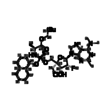 Cc1nc(N(C)C)c2ncn([C@@H]3O[C@](CCl)(COP(=S)(N[C@@H](C)C(=O)OCC(C)(C)C)Oc4cccc5ccccc45)[C@@H](O)[C@H]3F)c2n1